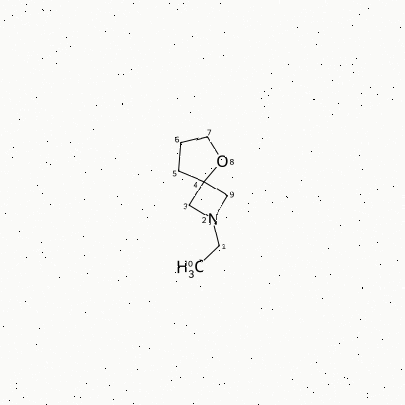 CCN1CC2(CCCO2)C1